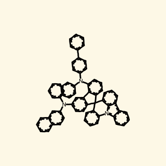 c1ccc(-c2ccc(N(c3ccccc3)c3cccc4c3-c3cc(N(c5ccccc5)c5ccc6ccccc6c5)ccc3C43c4ccccc4-n4c5ccccc5c5cccc3c54)cc2)cc1